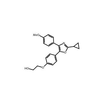 COc1ccc(-c2nc(C3CC3)oc2-c2ccc(OCCO)cc2)cc1